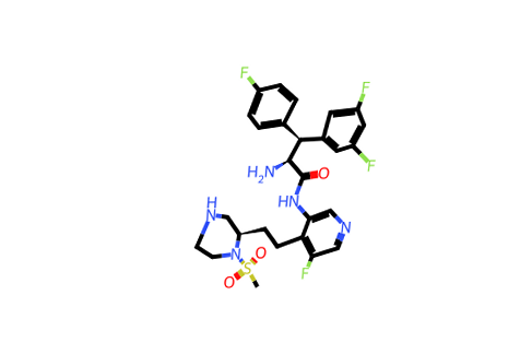 CS(=O)(=O)N1CCNC[C@H]1CCc1c(F)cncc1NC(=O)[C@@H](N)[C@@H](c1ccc(F)cc1)c1cc(F)cc(F)c1